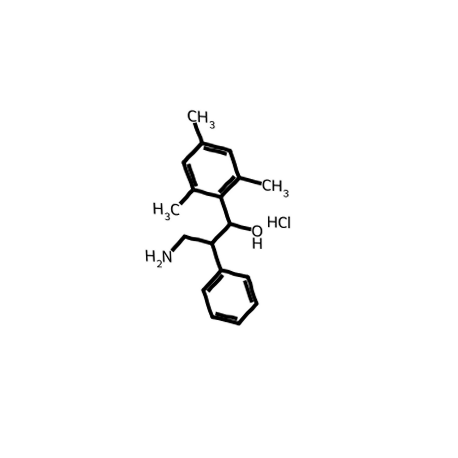 Cc1cc(C)c(C(O)C(CN)c2ccccc2)c(C)c1.Cl